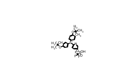 CC(C)(C)Oc1ccc([S+](c2ccc(OC(C)(C)C)cc2)c2ccccn2)cc1.O=S(=O)(O)C(F)(F)F